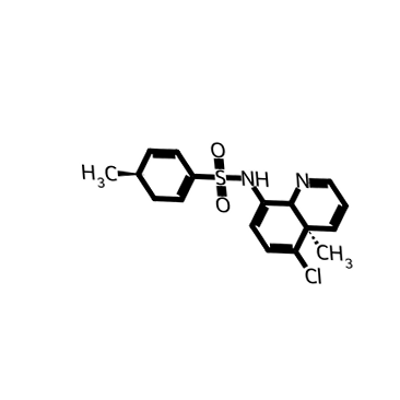 C[C@H]1C=CC(S(=O)(=O)NC2=CC=C(Cl)[C@]3(C)C=CC=NC23)=CC1